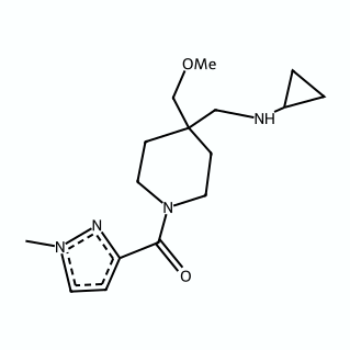 COCC1(CNC2CC2)CCN(C(=O)c2ccn(C)n2)CC1